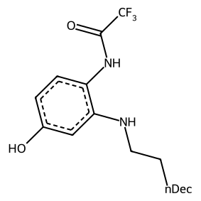 CCCCCCCCCCCCNc1cc(O)ccc1NC(=O)C(F)(F)F